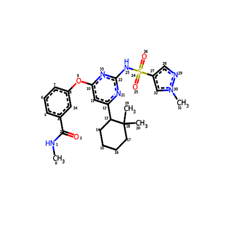 CNC(=O)c1cccc(Oc2cc(C3CCCCC3(C)C)nc(NS(=O)(=O)c3cnn(C)c3)n2)c1